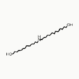 OCCCCCCCCCCCCCNCCCCCCCCCCCCCO